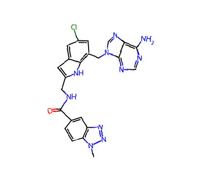 Cn1nnc2cc(C(=O)NCc3cc4cc(Cl)cc(Cn5cnc6c(N)ncnc65)c4[nH]3)ccc21